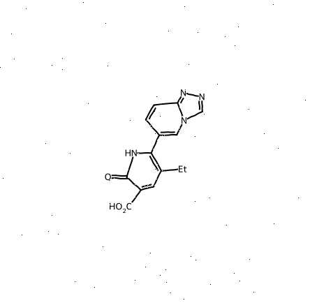 CCc1cc(C(=O)O)c(=O)[nH]c1-c1ccc2nncn2c1